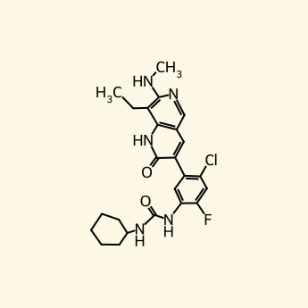 CCc1c(NC)ncc2cc(-c3cc(NC(=O)NC4CCCCC4)c(F)cc3Cl)c(=O)[nH]c12